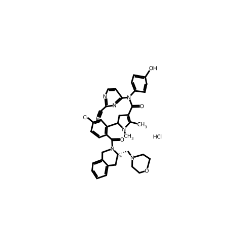 CC1=C(C(=O)N(c2ccc(O)cc2)c2ccnc(C#N)n2)CC(c2cc(Cl)ccc2C(=O)N2Cc3ccccc3C[C@H]2CN2CCOCC2)N1C.Cl